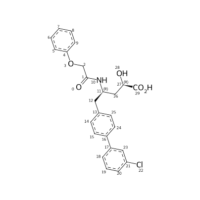 O=C(COc1ccccc1)N[C@H](Cc1ccc(-c2cccc(Cl)c2)cc1)C[C@@H](O)C(=O)O